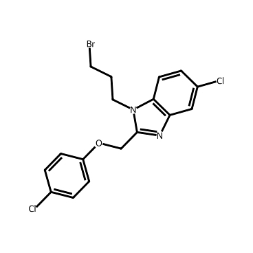 Clc1ccc(OCc2nc3cc(Cl)ccc3n2CCCBr)cc1